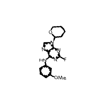 COc1cccc(Nc2nc(F)nc3c2ncn3C2CCCCO2)c1